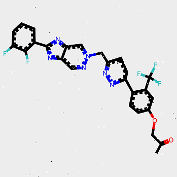 CC(=O)COc1ccc(-c2ccc(Cn3cc4nc(-c5cccc(F)c5F)nc-4cn3)nn2)c(C(F)(F)F)c1